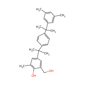 Cc1cc(C)cc(C(C)(C)c2ccc(C(C)(C)c3cc(C)c(O)c(CO)c3)cc2)c1